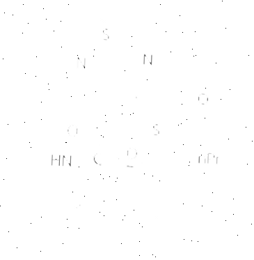 CCCS(=O)(=O)c1nsnc1OC1C2CCC1NC2